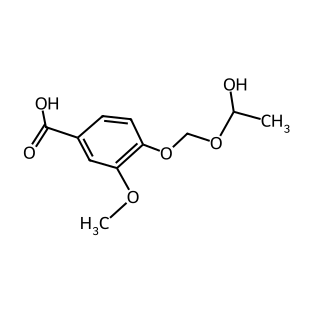 COc1cc(C(=O)O)ccc1OCOC(C)O